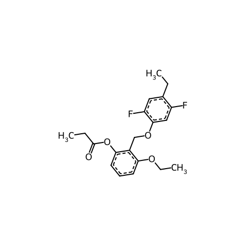 CCOc1cccc(OC(=O)CC)c1COc1cc(F)c(CC)cc1F